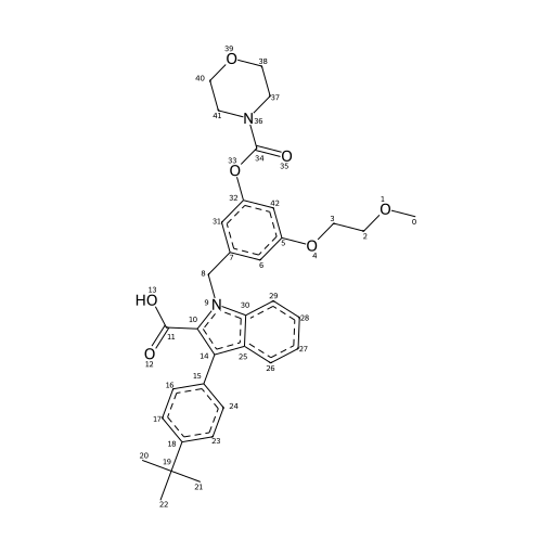 COCCOc1cc(Cn2c(C(=O)O)c(-c3ccc(C(C)(C)C)cc3)c3ccccc32)cc(OC(=O)N2CCOCC2)c1